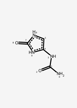 NC(=O)Nc1c[nH]c(=O)[nH]1